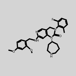 COc1ccc(CNc2cc3c(cn2)CN(c2c(C)cccc2F)C(=O)N3[C@@H]2CCCNCC2)c(OC)c1